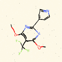 COc1nc(-c2ccncc2)nc(OC)c1C(F)(F)F